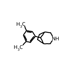 Cc1cc(C)cc(C2C3CCC2CNC3)c1